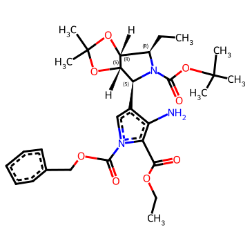 CCOC(=O)c1c(N)c([C@H]2[C@@H]3OC(C)(C)O[C@@H]3[C@@H](CC)N2C(=O)OC(C)(C)C)cn1C(=O)OCc1ccccc1